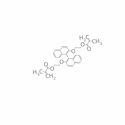 C=C(C)C(=O)OCCOc1ccc2ccccc2c1-c1c(OCCOC(=O)C(=C)C)ccc2ccccc12